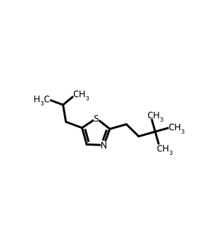 CC(C)Cc1cnc(CCC(C)(C)C)s1